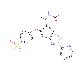 CC(=O)N(C)C(C)c1cc2[nH]c(-c3ccccn3)nc2cc1Oc1ccc(S(C)(=O)=O)cc1